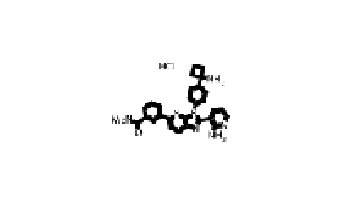 CNC(=O)c1cccc(-c2ccc3nc(-c4cccnc4N)n(-c4ccc(C5(N)CCC5)cc4)c3n2)c1.Cl